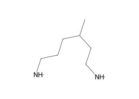 CC(CC[NH])CCC[NH]